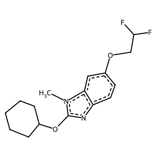 Cn1c(OC2CCCCC2)nc2ccc(OCC(F)F)cc21